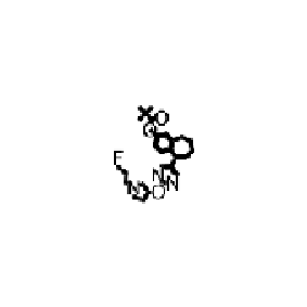 CC(C)(C)C(=O)Oc1ccc2c(c1)CCCC=C2c1cnc(OC2CCN(CCCF)C2)nc1